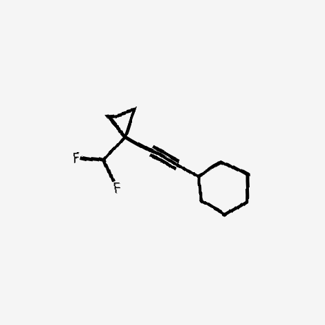 FC(F)C1(C#CC2CCCCC2)CC1